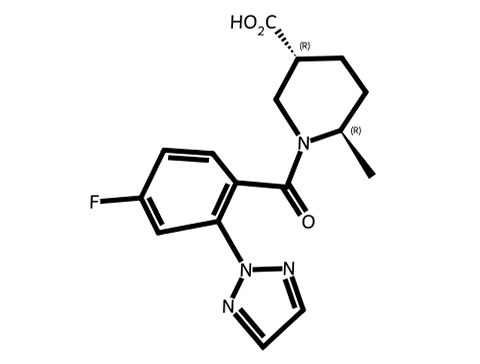 C[C@@H]1CC[C@@H](C(=O)O)CN1C(=O)c1ccc(F)cc1-n1nccn1